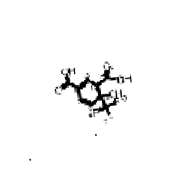 CC1(C(F)(F)F)C=CC(C(=O)O)=CC1C(=O)O